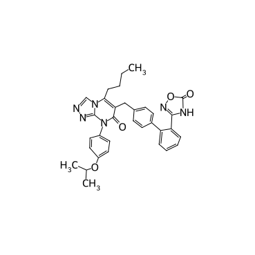 CCCCc1c(Cc2ccc(-c3ccccc3-c3noc(=O)[nH]3)cc2)c(=O)n(-c2ccc(OC(C)C)cc2)c2nncn12